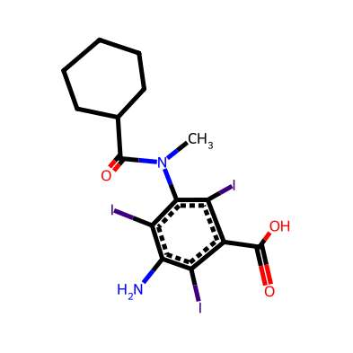 CN(C(=O)C1CCCCC1)c1c(I)c(N)c(I)c(C(=O)O)c1I